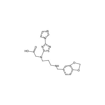 O=C(O)CN(CCCNCc1ccc2c(c1)OCO2)c1nc(-n2ccnc2)ns1